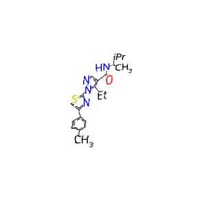 CCc1c(C(=O)NC(C)C(C)C)cnn1-c1nc(-c2ccc(C)cc2)cs1